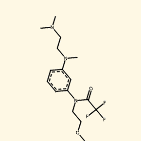 COCCN(C(=O)C(F)(F)F)c1[c]ccc(N(C)CCN(C)C)c1